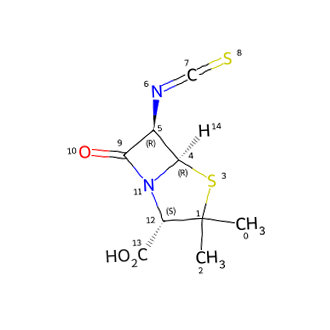 CC1(C)S[C@@H]2[C@H](N=C=S)C(=O)N2[C@H]1C(=O)O